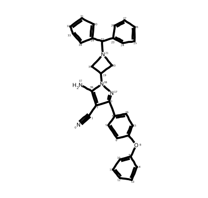 N#Cc1c(-c2ccc(Oc3ccccc3)cc2)nn(C2CN(C(c3ccccc3)c3ccccc3)C2)c1N